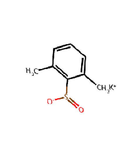 Cc1cccc(C)c1S(=O)[O-].[K+]